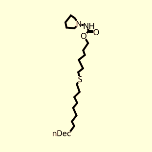 CCCCCCCCCCCCCCCCCCSCCCCCCOC(=O)NN1CCCCC1